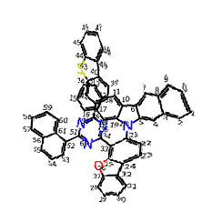 c1ccc2cc3c(cc2c1)c1cc2ccccc2cc1n3-c1ccc2c(oc3ccccc32)c1-c1nc(-c2ccc3c(c2)sc2ccccc23)nc(-c2cccc3ccccc23)n1